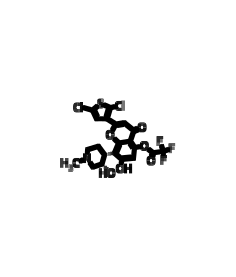 CN1CC[C@H](c2c(O)cc(OC(=O)C(F)(F)F)c3c(=O)cc(-c4cc(Cl)sc4Cl)oc23)[C@H](O)C1